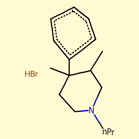 Br.CCCN1CCC(C)(c2ccccc2)C(C)C1